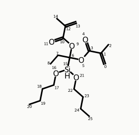 C=C(C)C(=O)OC(CC)(OC(=O)C(=C)C)[SiH](OCCCC)OCCCC